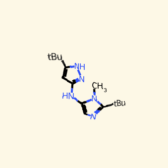 Cn1c(Nc2cc(C(C)(C)C)[nH]n2)cnc1C(C)(C)C